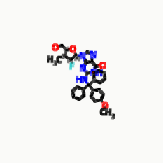 COc1ccc(C(Nc2nc3c(ncn3[C@@H]3O[C@H](C=O)[C@@H](C)[C@H]3F)c(=O)[nH]2)(c2ccccc2)c2ccccc2)cc1